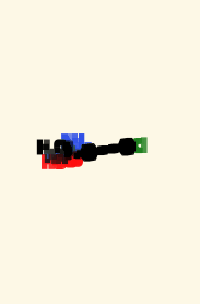 C[C@@H](N)[C@H](NC(=O)c1ccc(C#CC#Cc2ccc(Cl)cc2)cc1)C(=O)NO